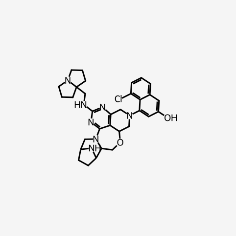 Oc1cc(N2Cc3nc(NCC45CCCN4CCC5)nc4c3C(C2)OCC2C3CCC(CN42)N3)c2c(Cl)cccc2c1